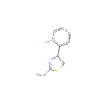 Clc1ccccc1-c1csc(CBr)n1